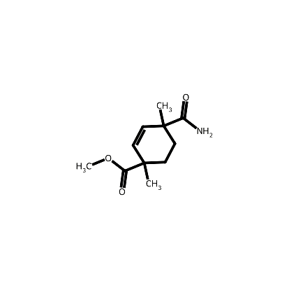 COC(=O)C1(C)C=CC(C)(C(N)=O)CC1